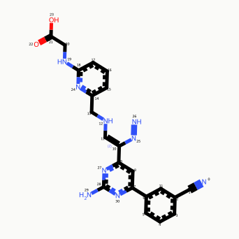 N#Cc1cccc(-c2cc(/C(=C/NCc3cccc(NCC(=O)O)n3)N=N)nc(N)n2)c1